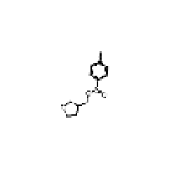 Cc1ccc(S(=O)OCC2CCOC2)cc1